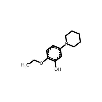 CCOc1ccc(N2CCCCC2)cc1O